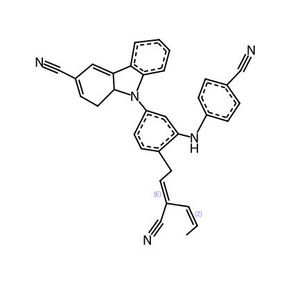 C/C=C\C(C#N)=C/Cc1ccc(N2c3ccccc3C3=CC(C#N)=CCC32)cc1Nc1ccc(C#N)cc1